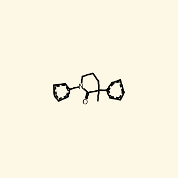 CC1(c2ccccc2)CCCN(c2ccccc2)C1=O